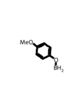 BOc1ccc(OC)cc1